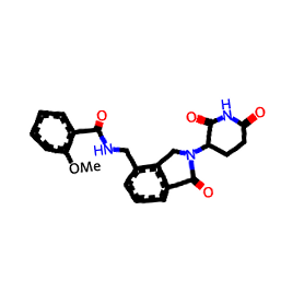 COc1ccccc1C(=O)NCc1cccc2c1CN(C1CCC(=O)NC1=O)C2=O